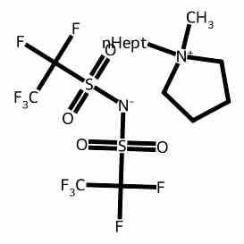 CCCCCCC[N+]1(C)CCCC1.O=S(=O)([N-]S(=O)(=O)C(F)(F)C(F)(F)F)C(F)(F)C(F)(F)F